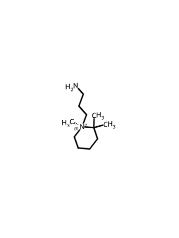 CC1(C)CCCC[N@@+]1(C)CCCN